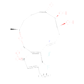 COC1=CC(=O)C2=C(/C=C/C[C@H](O)[C@H](O)C(=O)CCC[C@H](C)OC2=O)C1(F)F